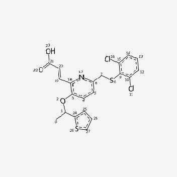 CC(Oc1ccc(CSc2c(Cl)cccc2Cl)nc1/C=C/C(=O)O)c1cccs1